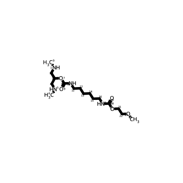 CNCC(CNC)OC(=O)NCCCCCCNC(=O)OCCOC